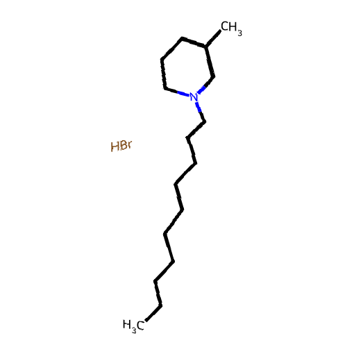 Br.CCCCCCCCCCN1CCCC(C)C1